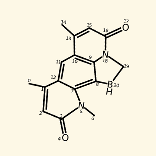 Cc1cc(=O)n(C)c2c3c4c(cc12)c(C)cc(=O)n4CB3